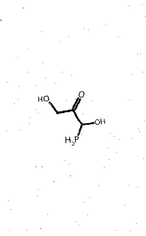 O=C(CO)C(O)P